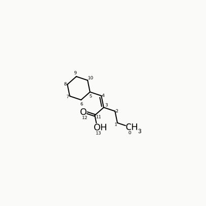 CCCC(=CC1CCCCC1)C(=O)O